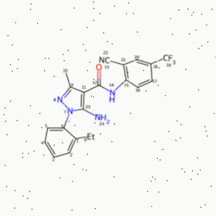 CCc1ccccc1-n1nc(C)c(C(=O)Nc2ccc(C(F)(F)F)cc2C#N)c1N